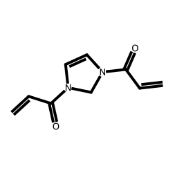 C=CC(=O)N1C=CN(C(=O)C=C)C1